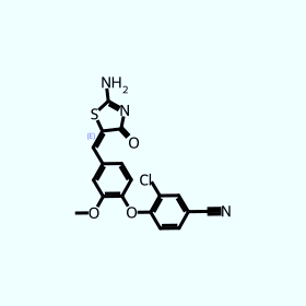 COc1cc(/C=C2/SC(N)=NC2=O)ccc1Oc1ccc(C#N)cc1Cl